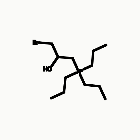 CCC[N+](CCC)(CCC)CC(O)CBr